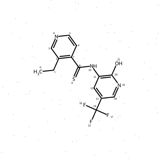 CCc1cnccc1C(=S)Nc1cc(C(F)(F)F)cnc1O